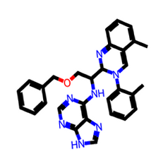 Cc1ccccc1N1C=c2c(C)cccc2=NC1C(COCc1ccccc1)Nc1ncnc2[nH]cnc12